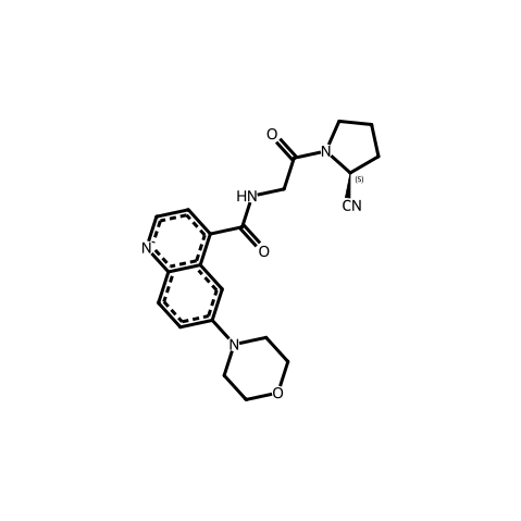 N#C[C@@H]1CCCN1C(=O)CNC(=O)c1ccnc2ccc(N3CCOCC3)cc12